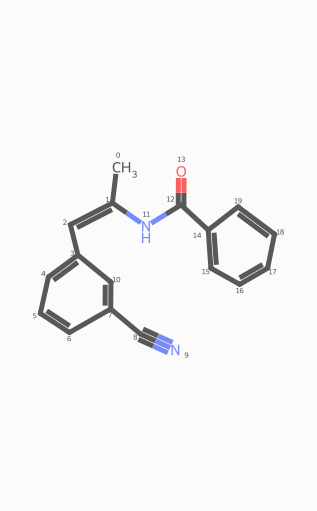 CC(=Cc1cccc(C#N)c1)NC(=O)c1ccccc1